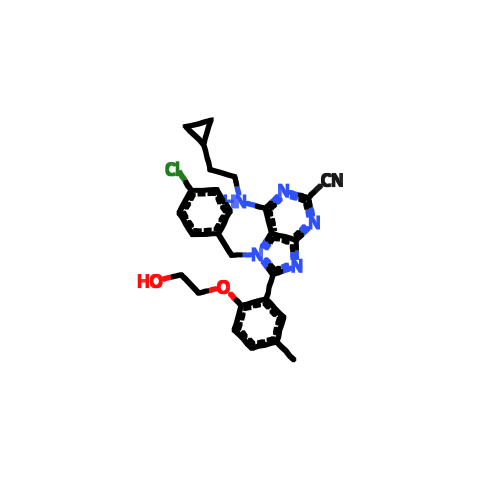 Cc1ccc(OCCO)c(-c2nc3nc(C#N)nc(NCCC4CC4)c3n2Cc2ccc(Cl)cc2)c1